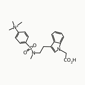 CN(CCc1cn(CC(=O)O)c2ccccc12)S(=O)(=O)c1ccc([N+](C)(C)C)cc1